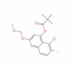 COCOc1cc(OC(=O)C(C)(C)C)c2c(Cl)c(F)ccc2c1